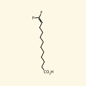 O=C(O)CCCCCCCCCC=C(F)F